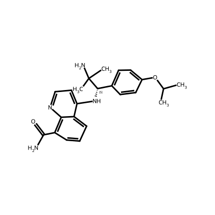 CC(C)Oc1ccc([C@H](Nc2ccnc3c(C(N)=O)cccc23)C(C)(C)N)cc1